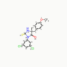 C[C@]1(Cc2ccc(OC(F)(F)F)cc2)NC(=S)N(c2cc(Cl)cc(Cl)c2)C1=O